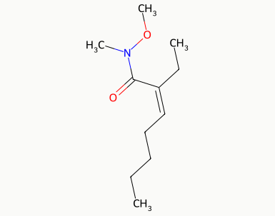 CCCCC=C(CC)C(=O)N(C)OC